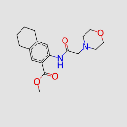 COC(=O)c1cc2c(cc1NC(=O)CN1CCOCC1)CCCC2